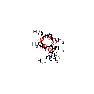 CCC[C@H]1C[C@@H]2CC[C@@H](O2)[C@H](CC)C(=O)O[C@@H]([C@H](CC)[C@H]2CC[C@@H](C[C@@H](CCC)N(C)C)O2)[C@H](C)[C@@H]2CC[C@@H](O2)[C@@H](C)C(=O)O1